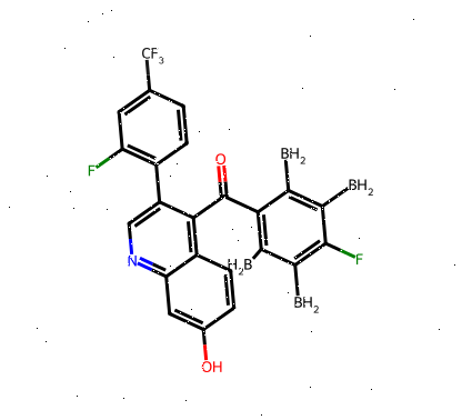 Bc1c(B)c(C(=O)c2c(-c3ccc(C(F)(F)F)cc3F)cnc3cc(O)ccc23)c(B)c(B)c1F